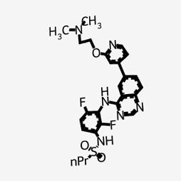 CCCS(=O)(=O)Nc1ccc(F)c(Nc2ncnc3ccc(-c4ccnc(OCCN(C)C)c4)cc23)c1F